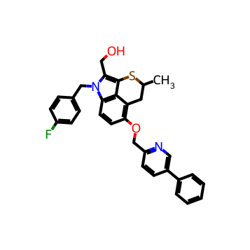 CC1Cc2c(OCc3ccc(-c4ccccc4)cn3)ccc3c2c(c(CO)n3Cc2ccc(F)cc2)S1